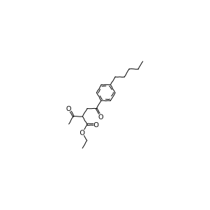 CCCCCc1ccc(C(=O)CC(C(C)=O)C(=O)OCC)cc1